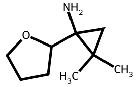 CC1(C)CC1(N)C1CCCO1